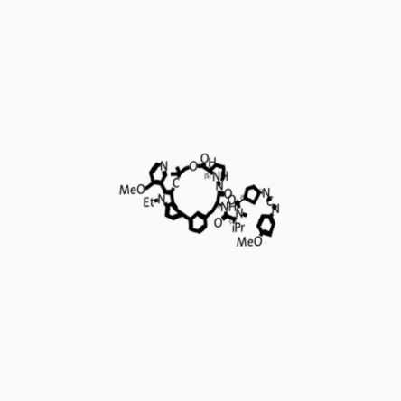 CCn1c(-c2cnccc2COC)c2c3cc(ccc31)-c1cccc(c1)C[C@H](NC(=O)[C@H](C(C)C)N(C)C(=O)[C@H]1CC[C@H](N=C=Nc3ccc(OC)cc3)C1)C(=O)N1CCC[C@H](N1)C(=O)OCC(C)(C)C2